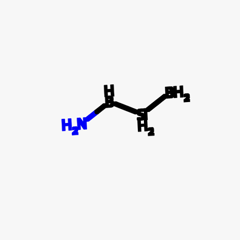 B[SiH2]BN